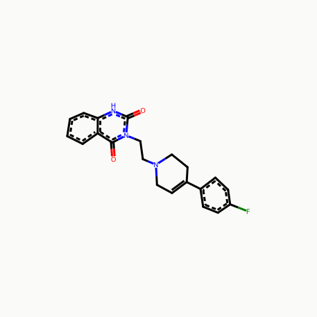 O=c1[nH]c2ccccc2c(=O)n1CCN1CC=C(c2ccc(F)cc2)CC1